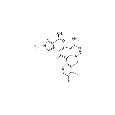 C[C@@H](Oc1cc(F)c(-c2ccc(F)c(Cl)c2F)c2ncnc(N)c12)c1ncn(C)n1